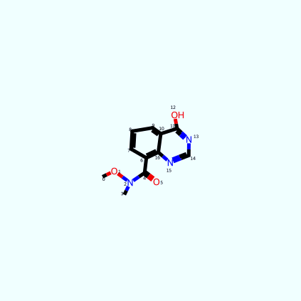 CON(C)C(=O)c1cccc2c(O)ncnc12